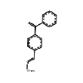 C=C(c1ccccc1)c1ccc(C=NCCCCCC)cc1